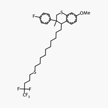 COc1ccc2c(c1)SCC(C)(c1ccc(F)cc1)C2CCCCCCCCCCSCCCC(F)(F)C(F)(F)F